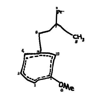 COc1cccc(CC(C)C(C)C)c1